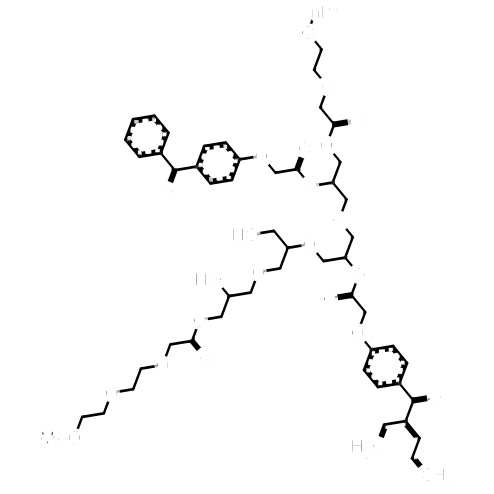 C=C/C=C(\C=C)C(=O)c1ccc(OCC(=O)OC(COCC(COC(=O)COCCOCCC)OC(=O)COc2ccc(C(=O)c3ccccc3)cc2)COC(CO)COCC(O)COC(=O)COCCOCCOC)cc1